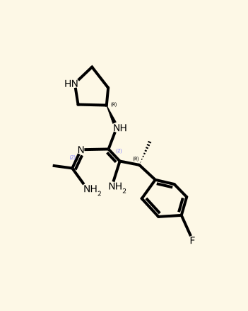 C/C(N)=N/C(N[C@@H]1CCNC1)=C(\N)[C@H](C)c1ccc(F)cc1